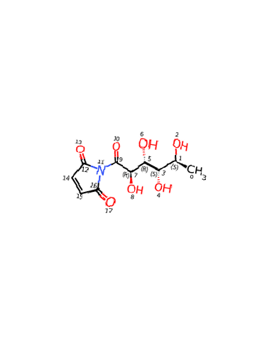 C[C@H](O)[C@H](O)[C@@H](O)[C@@H](O)C(=O)N1C(=O)C=CC1=O